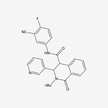 CCCCN1C(=O)c2ccccc2C(C(=O)Nc2ccc(F)c(C#N)c2)C1c1cccnc1